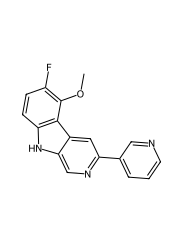 COc1c(F)ccc2[nH]c3cnc(-c4cccnc4)cc3c12